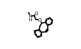 CNC(=O)COC1Cc2ccccc2C#Cc2ccccc21